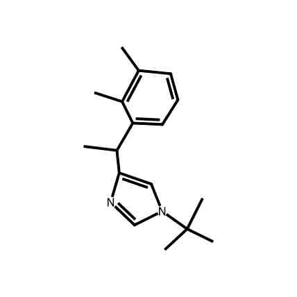 Cc1cccc(C(C)c2cn(C(C)(C)C)cn2)c1C